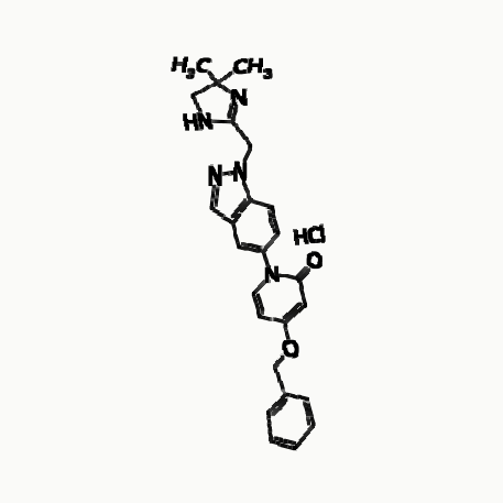 CC1(C)CNC(Cn2ncc3cc(-n4ccc(OCc5ccccc5)cc4=O)ccc32)=N1.Cl